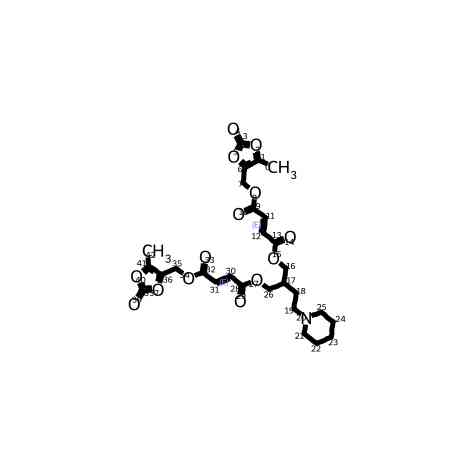 Cc1oc(=O)oc1COC(=O)/C=C/C(=O)OCC(CCN1CCCCC1)COC(=O)/C=C/C(=O)OCc1oc(=O)oc1C